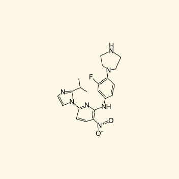 CC(C)c1nccn1-c1ccc([N+](=O)[O-])c(Nc2ccc(N3CCNCC3)c(F)c2)n1